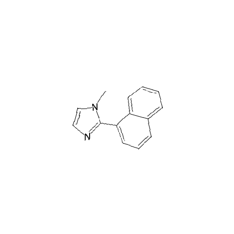 Cn1ccnc1-c1cccc2ccccc12